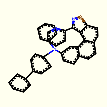 c1ccc(-c2ccc(N(c3ccccc3)c3ccc4ccc5ccc6snc(-c7ccccn7)c6c5c4c3)cc2)cc1